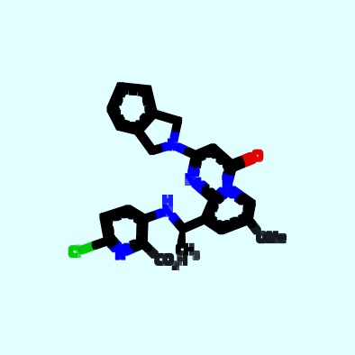 COc1cc([C@@H](C)Nc2ccc(Cl)nc2C(=O)O)c2nc(N3Cc4ccccc4C3)cc(=O)n2c1